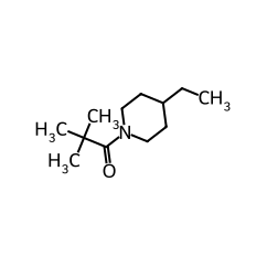 CCC1CCN(C(=O)C(C)(C)C)CC1